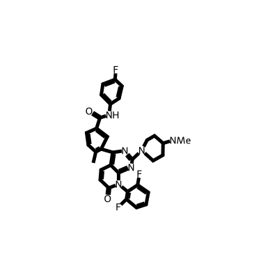 CNC1CCN(c2nc(-c3cc(C(=O)Nc4ccc(F)cc4)ccc3C)c3ccc(=O)n(-c4c(F)cccc4F)c3n2)CC1